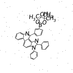 CC1(C)OB(c2cccc(-c3nc4ccccc4c4ccc5c(nc(-c6ccccc6)n5-c5ccccc5)c34)c2)OC1(C)C